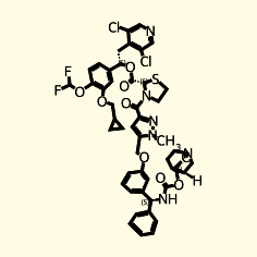 Cn1nc(C(=O)N2CCS[C@H]2C(=O)O[C@@H](Cc2c(Cl)cncc2Cl)c2ccc(OC(F)F)c(OCC3CC3)c2)cc1COc1cccc([C@@H](NC(=O)O[C@H]2CN3CCC2CC3)c2ccccc2)c1